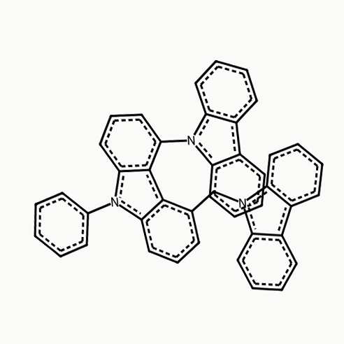 c1ccc(-n2c3cccc(Cn4c5ccccc5c5ccccc54)c3c3c(-n4c5ccccc5c5ccccc54)cccc32)cc1